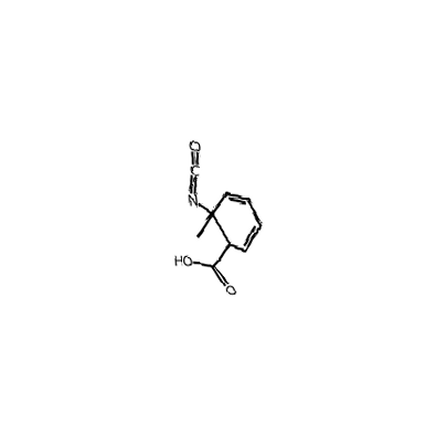 CC1(N=C=O)C=CC=CC1C(=O)O